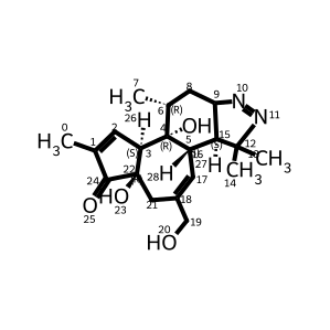 CC1=C[C@H]2[C@@]3(O)[C@H](C)CC4N=NC(C)(C)[C@H]4[C@@H]3C=C(CO)C[C@]2(O)C1=O